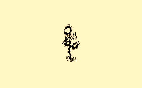 N#CN=C(Nc1cccc(C(=CCCCC(=O)O)c2cccnc2)c1)NC1CCCCCCC1